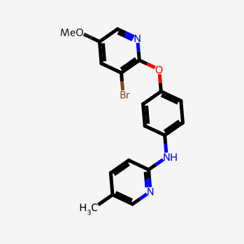 COc1cnc(Oc2ccc(Nc3ccc(C)cn3)cc2)c(Br)c1